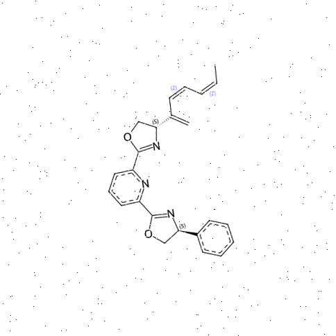 C=C(/C=C\C=C/C)[C@H]1COC(c2cccc(C3=N[C@@H](c4ccccc4)CO3)n2)=N1